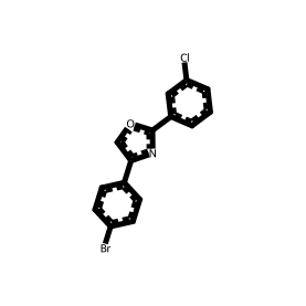 Clc1cccc(-c2nc(-c3ccc(Br)cc3)co2)c1